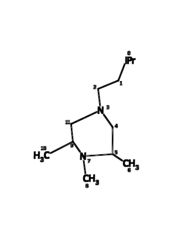 CC(C)CCN1CC(C)N(C)C(C)C1